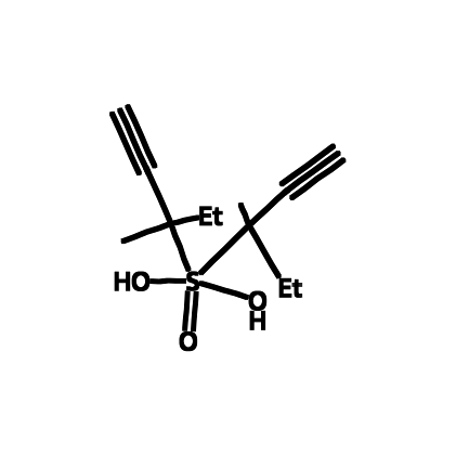 C#CC(C)(CC)S(=O)(O)(O)C(C)(C#C)CC